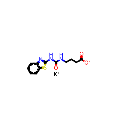 O=C([O-])CCCNC(=O)Nc1nc2ccccc2s1.[K+]